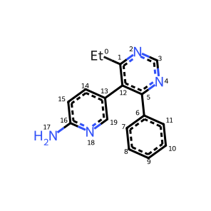 CCc1ncnc(-c2ccccc2)c1-c1ccc(N)nc1